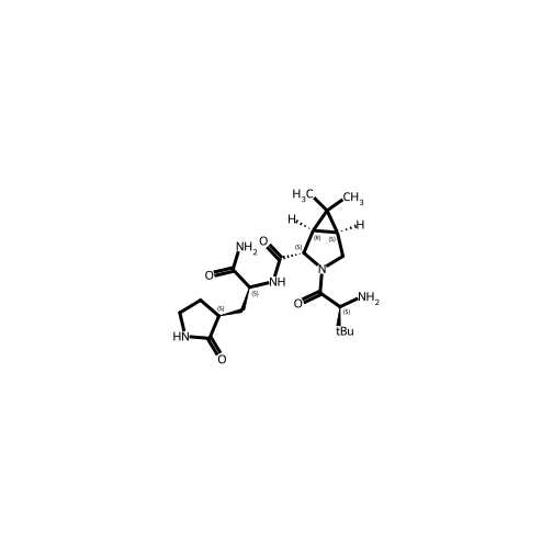 CC(C)(C)[C@H](N)C(=O)N1C[C@H]2[C@@H]([C@H]1C(=O)N[C@@H](C[C@@H]1CCNC1=O)C(N)=O)C2(C)C